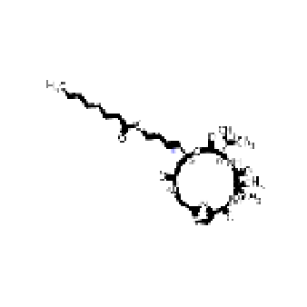 CCCCCCCC(=O)SCC/C=C/[C@@H]1CC(=O)NCc2nc(cs2)C(=O)NC(C)(C)C(=O)N[C@@H](C(C)C)C(=O)O1